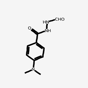 CN(C)c1ccc(C(=O)NNC=O)cc1